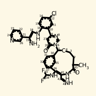 CC1CCCC(n2cnc(-c3cc(Cl)ccc3N/C=C(\N)c3cccnc3)cc2=O)c2cccc(c2)/C(NC(F)F)=C(/C=N)NC1=O